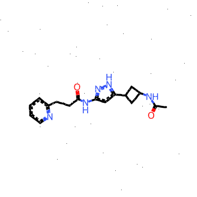 CC(=O)NC1CC(c2cc(NC(=O)CCc3ccccn3)n[nH]2)C1